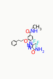 CCNC(=O)c1ccc(-n2nnc(C(N)=O)c2C(F)(F)F)c(OCCCc2ccccc2)c1